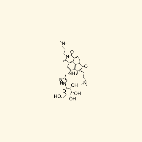 C=c1c2cc(NCc3cn([C@@H]4OC(CO)[C@@H](O)C(O)C4O)nn3)c3c(=C)n(CCCN(C)C)c(=O)c4ccc(c(=O)n1CCCN(C)C)c2c43